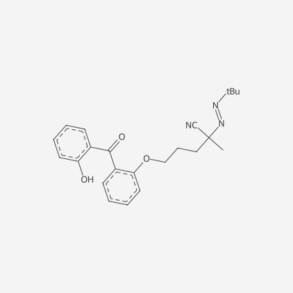 CC(C)(C)N=NC(C)(C#N)CCCOc1ccccc1C(=O)c1ccccc1O